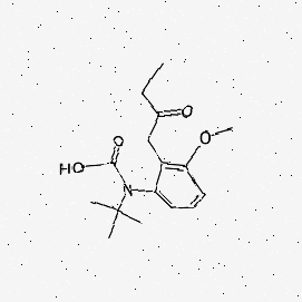 CCC(=O)Cc1c(OC)cccc1N(C(=O)O)C(C)(C)C